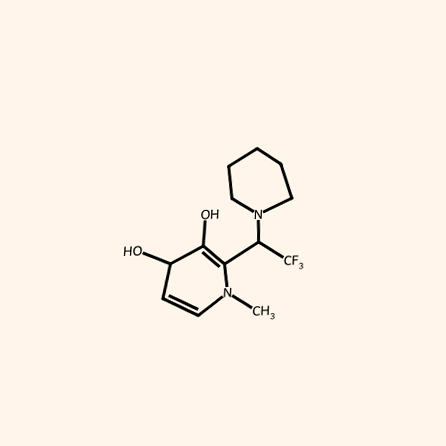 CN1C=CC(O)C(O)=C1C(N1CCCCC1)C(F)(F)F